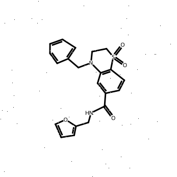 O=C(NCc1ccco1)c1ccc2c(c1)N(Cc1ccccc1)CCS2(=O)=O